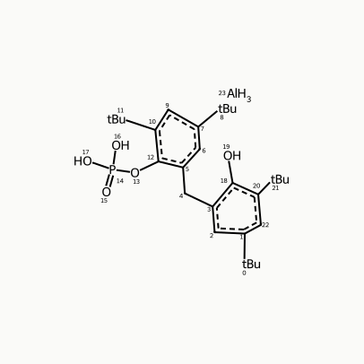 CC(C)(C)c1cc(Cc2cc(C(C)(C)C)cc(C(C)(C)C)c2OP(=O)(O)O)c(O)c(C(C)(C)C)c1.[AlH3]